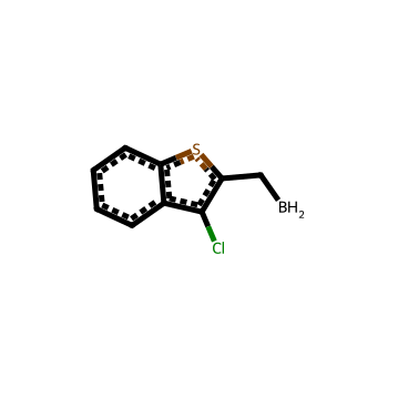 BCc1sc2ccccc2c1Cl